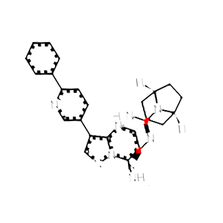 N#C/N=C(\N)N1[C@@H]2CC[C@H]1C[C@@H](c1cc(N)n3ncc(-c4ccc(-c5ccccc5)nc4)c3n1)C2